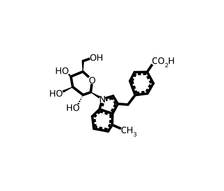 Cc1cccc2c1c(Cc1ccc(C(=O)O)cc1)cn2[C@@H]1O[C@H](CO)[C@@H](O)[C@H](O)[C@H]1O